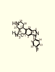 Cc1cc2c(cnn2-c2ccc(F)cc2)cc1C1CCNCC1C